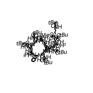 COC(=O)[C@H](CCCCNC(=O)OC(C)(C)C)N(CC(=O)N[C@@H](C(=O)N[C@@H](CCNC(=O)OC(C)(C)C)C(=O)N[C@H]1CCNC(=O)[C@H]([C@H](C)O)NC(=O)[C@H](CCNC(=O)OC(C)(C)C)NC(=O)[C@H](CCNC(=O)OC(C)(C)C)NC(=O)[C@H](CC(C)C)NC(=O)[C@@H](Cc2ccccc2)NC(=O)[C@H](CCNC(=O)OC(C)(C)C)NC1=O)[C@H](C)O)C(=O)OC(C)(C)C